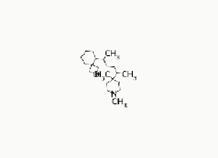 CC(CCC(C)C1(C)C=CN(C)CC1)C1CCCCC12COC2